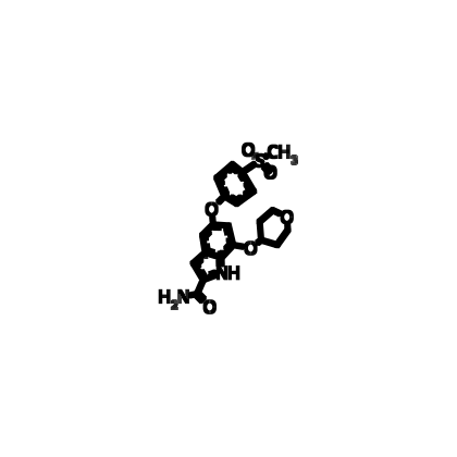 CS(=O)(=O)c1ccc(Oc2cc(OC3CCOCC3)c3[nH]c(C(N)=O)cc3c2)cc1